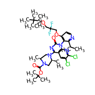 CC(C)c1nccc(OCC(F)(F)CO[Si](C)(C)C(C)(C)C)c1-n1c(=O)nc(N2C[C@@H](C)N(C(=O)OC(C)(C)C)C[C@@H]2C)c2cc(Cl)c(Cl)nc21